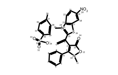 C=C(c1c(-c2ccccc2)n(C)oc1=O)c1sc2cc([N+](=O)[O-])ccc2[n+]1C.Cc1ccc(S(=O)(=O)[O-])cc1